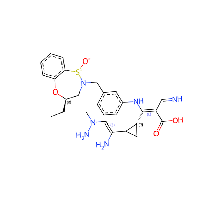 CC[C@@H]1CN(Cc2cccc(N/C(=C(\C=N)C(=O)O)[C@@H]3CC3/C(N)=C/N(C)N)c2)[S+]([O-])c2ccccc2O1